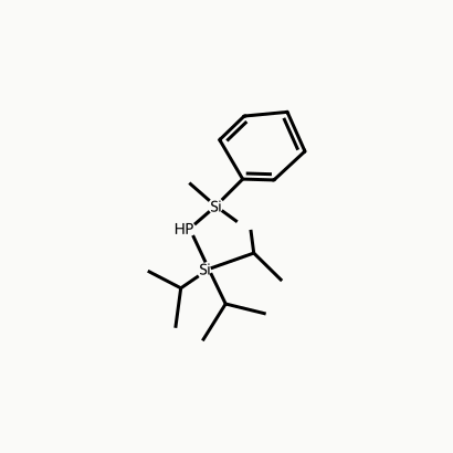 CC(C)[Si](P[Si](C)(C)c1ccccc1)(C(C)C)C(C)C